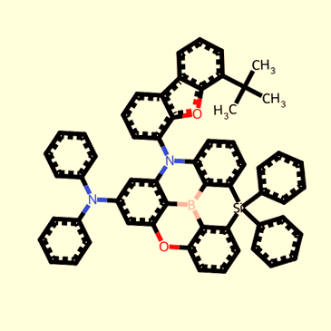 CC(C)(C)c1cccc2c1oc1c(N3c4cc(N(c5ccccc5)c5ccccc5)cc5c4B4c6c(cccc6[Si](c6ccccc6)(c6ccccc6)c6cccc3c64)O5)cccc12